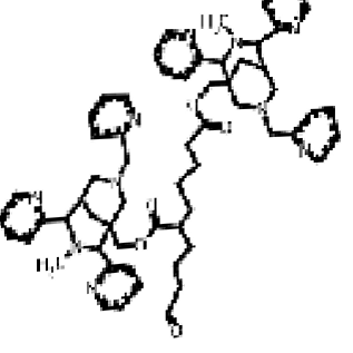 CN1C(c2ccccn2)C2CN(Cc3ccccn3)CC(COC(=O)CCCCC(CCCC=O)C(=O)OCC34CC(CN(Cc5ccccn5)C3)C(c3ccccn3)N(C)C4c3ccccn3)(C2)C1c1ccccn1